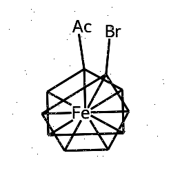 CC(=O)[C]12[CH]3[CH]4[CH]5[CH]1[Fe]45321678[CH]2[CH]1[CH]6[C]7(Br)[CH]28